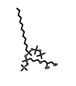 CCCCCCCCCCCCC[Si](C)(O[Si](C)(C)O[Si](C)(C)C)O[Si](C)(CCCOCC(O)CO)O[Si](C)(C)C